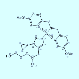 COc1ccc(CN(Cc2ccc(OC)cc2)S(=O)(=O)c2cc(CN(C)CCCO)n(C3CC3)n2)cc1